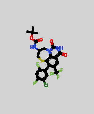 CC(C)(C)OC(=O)N[C@@H]1CSc2c(-c3cc(Cl)c(F)cc3F)c(C(F)(F)F)cc3c(=O)[nH]c(=O)n(c23)C1